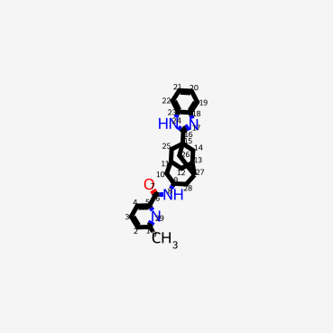 Cc1cccc(C(=O)NC2CC3CC4CC(c5nc6ccccc6[nH]5)(C3)CC4C2)n1